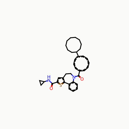 O=C(NC1CC1)c1cc2c(s1)-c1ccccc1N(C(=O)c1cccccc(C3CCCCCCCCC3)ccc1)CC2